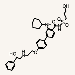 O=C(NS(=O)(=O)CCCO)c1ccc(-c2ccc(OCCNC[C@@H](O)c3ccccc3)cc2)cc1NC1CCCCC1